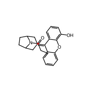 O=C(CF)N1C2CCC1CC(=C1c3ccccc3Oc3c(O)cccc31)C2